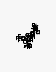 CCc1nocc1C(=O)N[C@H](C(=O)Nc1ccc(-c2c(Cl)cc[n+]([O-])c2C)cc1)C1CCC(C(F)(F)F)CC1